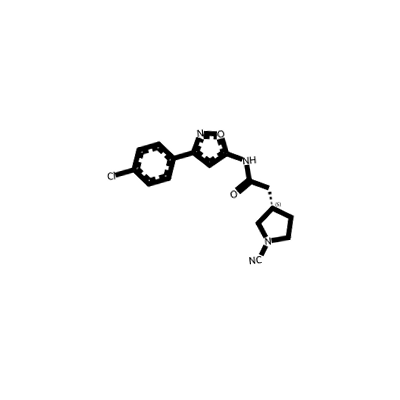 N#CN1CC[C@@H](CC(=O)Nc2cc(-c3ccc(Cl)cc3)no2)C1